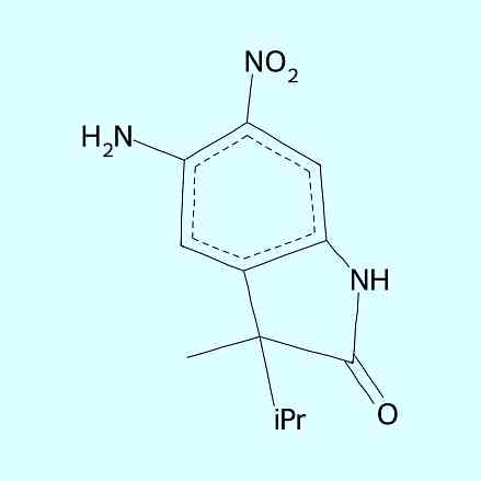 CC(C)C1(C)C(=O)Nc2cc([N+](=O)[O-])c(N)cc21